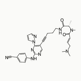 C[C@@H](C(=O)NCCCC#Cc1cnc(Nc2ccc(C#N)cc2)nc1-n1cccn1)N(C)C(=O)C=CCN(C)C